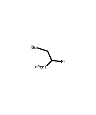 [CH2]C(CC)CC(CC)CCCCC